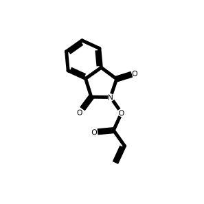 C=CC(=O)ON1C(=O)c2ccccc2C1=O